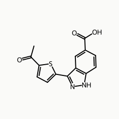 CC(=O)c1ccc(-c2n[nH]c3ccc(C(=O)O)cc23)s1